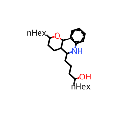 CCCCCCC(O)CCCC1Nc2ccccc2C2OC(CCCCCC)CCC12